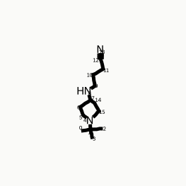 CC(C)(C)N1CCC(NCCCC#N)CC1